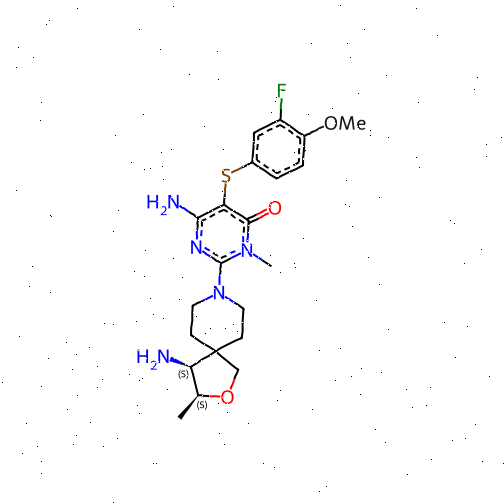 COc1ccc(Sc2c(N)nc(N3CCC4(CC3)CO[C@@H](C)[C@H]4N)n(C)c2=O)cc1F